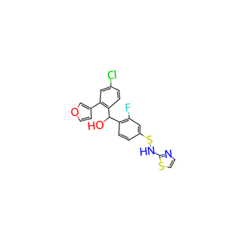 OC(c1ccc(SNc2nccs2)cc1F)c1ccc(Cl)cc1-c1ccoc1